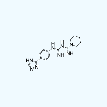 N=C(NC(=N)N1CCCCC1)Nc1ccc(-c2nnc[nH]2)cc1